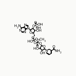 COP(=O)(O[C@H]1O[C@@H](N2C=CC=C(C(N)=O)C2)[C@H](O)[C@H]1O)OP(=O)(O)OC[C@H]1O[C@@H](n2cnc3c(N)ncnc32)[C@H](OP(=O)(O)O)[C@@H]1O